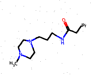 CC(C)CC(=O)NCCCN1CCN(C)CC1